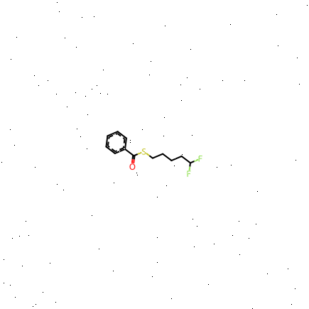 O=C(SCCCCC(F)F)c1ccccc1